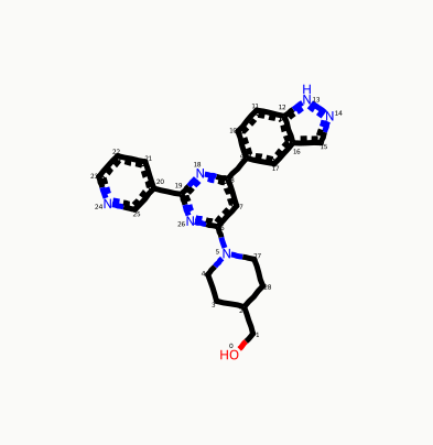 OCC1CCN(c2cc(-c3ccc4[nH]ncc4c3)nc(-c3cccnc3)n2)CC1